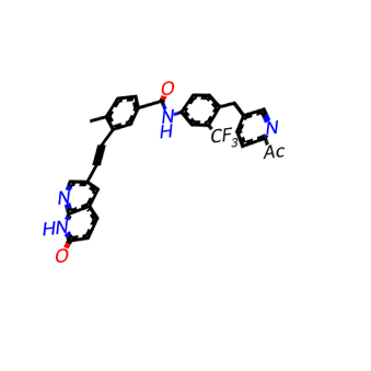 CC(=O)c1ccc(Cc2ccc(NC(=O)c3ccc(C)c(C#Cc4cnc5[nH]c(=O)ccc5c4)c3)cc2C(F)(F)F)cn1